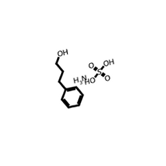 N.O=S(=O)(O)O.OCCCc1ccccc1